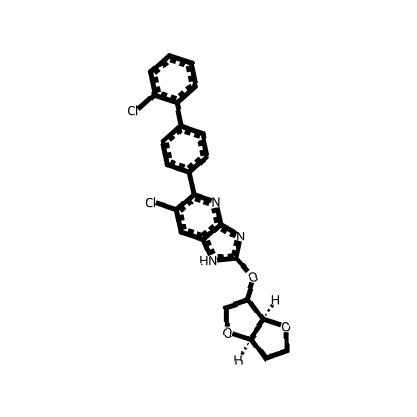 Clc1ccccc1-c1ccc(-c2nc3nc(OC4CO[C@@H]5CCO[C@H]45)[nH]c3cc2Cl)cc1